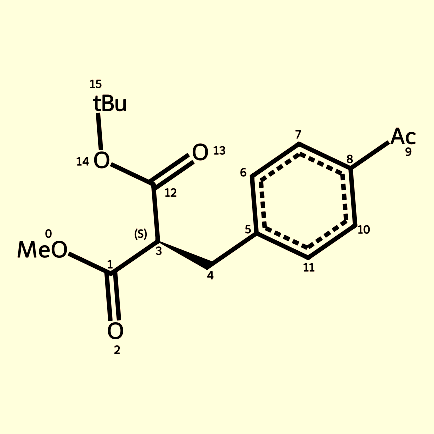 COC(=O)[C@H](Cc1ccc(C(C)=O)cc1)C(=O)OC(C)(C)C